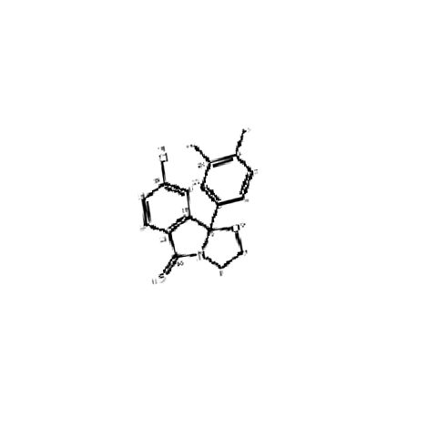 Cc1ccc(C23OCCN2C(=S)c2ccc(Cl)cc23)cc1C